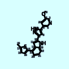 COc1cncc(-c2cc(-c3cc4c(-c5ccc(C)s5)cccc4[nH]3)n[nH]2)c1